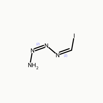 N/N=N\N=C/I